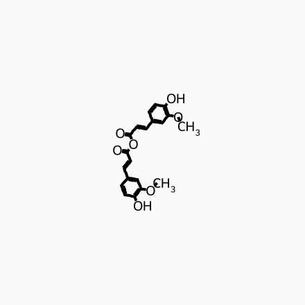 COc1cc(C=CC(=O)OC(=O)C=Cc2ccc(O)c(OC)c2)ccc1O